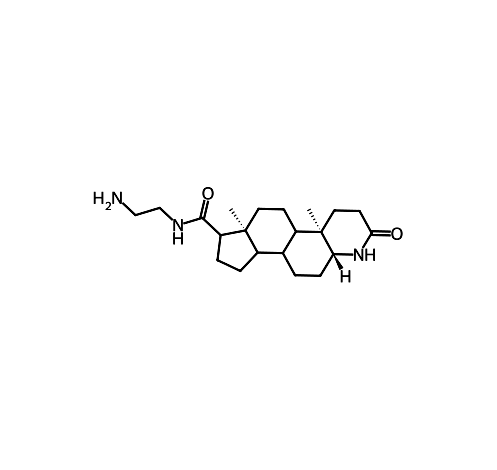 C[C@]12CCC3C(CC[C@H]4NC(=O)CC[C@]34C)C1CCC2C(=O)NCCN